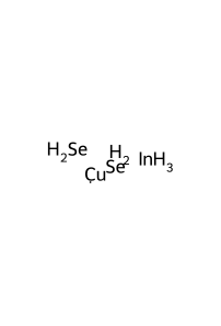 [Cu].[InH3].[SeH2].[SeH2]